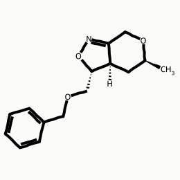 C[C@H]1C[C@@H]2C(=NO[C@H]2COCc2ccccc2)CO1